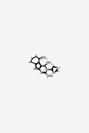 CSC1=Nc2[se]c3c(c2C(N)N1c1cscn1)C([N+](=O)[O-])CCC3